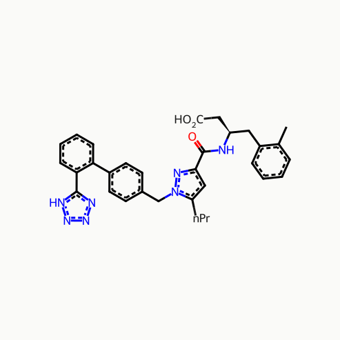 CCCc1cc(C(=O)N[C@@H](CC(=O)O)Cc2ccccc2C)nn1Cc1ccc(-c2ccccc2-c2nnn[nH]2)cc1